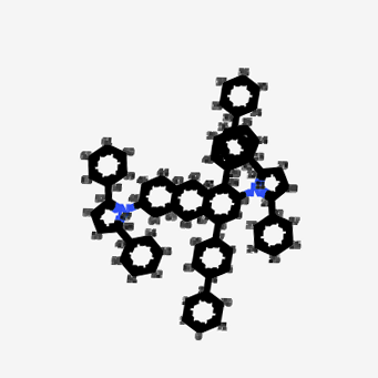 c1ccc(-c2ccc(-c3cc(-n4c(-c5ccccc5)ccc4-c4ccccc4)c(-c4ccc(-c5ccccc5)cc4)c4cc5ccc(-n6c(-c7ccccc7)ccc6-c6ccccc6)cc5cc34)cc2)cc1